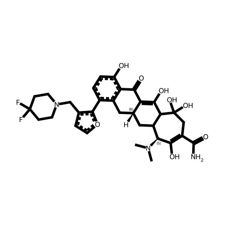 CN(C)[C@@H]1C(O)=C(C(N)=O)CC(O)(O)C2C(O)=C3C(=O)c4c(O)ccc(-c5occc5CN5CCC(F)(F)CC5)c4C[C@H]3CC21